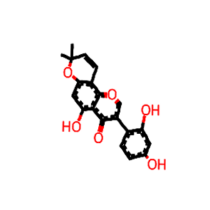 CC1(C)C=Cc2c(cc(O)c3c(=O)c(-c4ccc(O)cc4O)coc23)O1